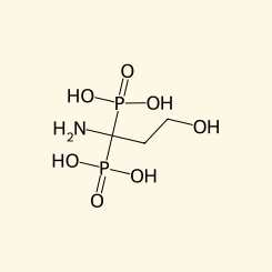 NC(CCO)(P(=O)(O)O)P(=O)(O)O